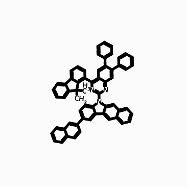 CC1(C)c2ccccc2-c2cccc(-c3nc(-n4c5ccc(-c6ccc7ccccc7c6)cc5c5cc6ccccc6cc54)nc4cc(-c5ccccc5)c(-c5ccccc5)cc34)c21